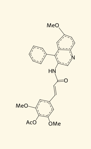 COc1ccc2ncc(NC(=O)C=Cc3cc(OC)c(OC(C)=O)c(OC)c3)c(-c3ccccc3)c2c1